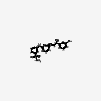 NS(=O)(=O)c1cccc(Nc2nccc(NCC(O)c3cccc(F)c3)n2)c1